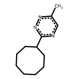 Cc1cnc(C2CCCCCCC2)nn1